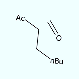 C=O.CCCCCCC(C)=O